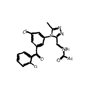 CC(=O)C(=O)NCc1nnc(C)n1-c1cc(Cl)cc(C(=O)c2ccccc2Cl)c1